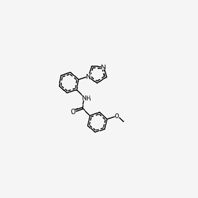 COc1cccc(C(=O)Nc2ccccc2-n2ccnc2)c1